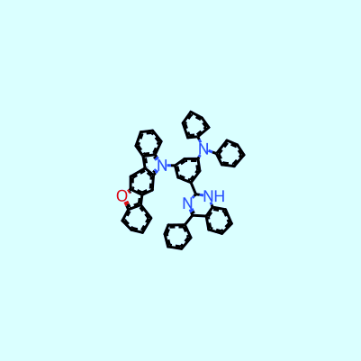 c1ccc(C2=NC(c3cc(N(c4ccccc4)c4ccccc4)cc(-n4c5ccccc5c5cc6oc7ccccc7c6cc54)c3)Nc3ccccc32)cc1